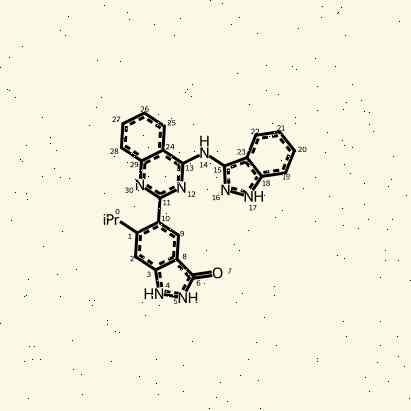 CC(C)c1cc2[nH][nH]c(=O)c2cc1-c1nc(Nc2n[nH]c3ccccc23)c2ccccc2n1